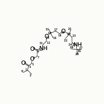 CC(C)C(=O)COCC(=O)NCCOC(C)(C)CCOC(C)(C)CCNC(C)(C)C